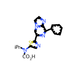 CC(C)N(C(=O)O)c1cnc(-c2cn3ccnc3c(-c3ccccc3)n2)s1